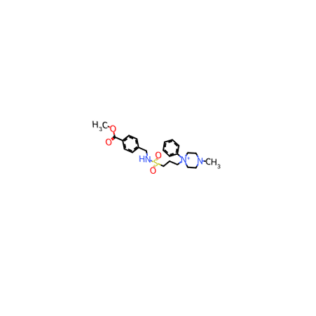 COC(=O)c1ccc(CNS(=O)(=O)CCC[N+]2(c3ccccc3)CCN(C)CC2)cc1